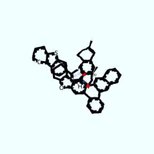 CC1=Cc2ccc(C3=C\C[C@H](C)/C(c4cc(-c5ccccc5-c5cc6ccccc6cc5N)cc5oc6c(c45)CCCC6)=N/C(c4ccc5c(c4)sc4ccccc45)=N\3)cc2CC1